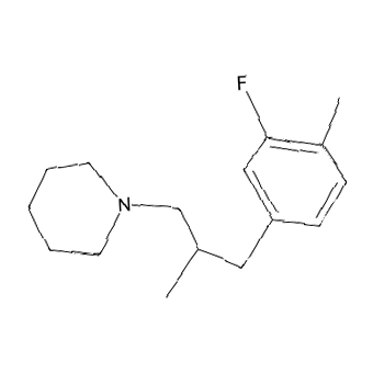 Cc1ccc(CC(C)CN2CCCCC2)cc1F